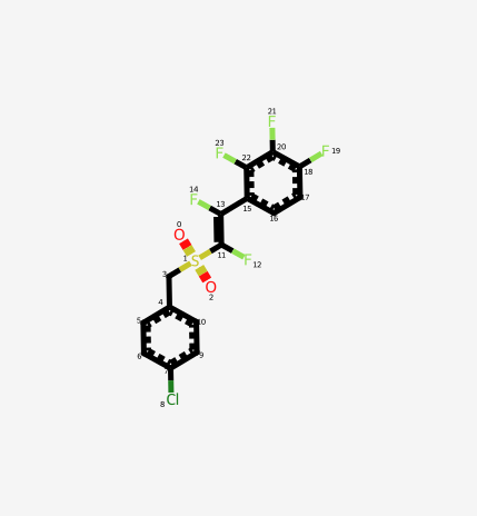 O=S(=O)(Cc1ccc(Cl)cc1)/C(F)=C(\F)c1ccc(F)c(F)c1F